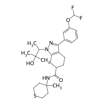 CC(n1nc(-c2cccc(OC(F)F)c2)c2c1CC(C(=O)NC1(C)CCSCC1)CC2)C(C)(C)O